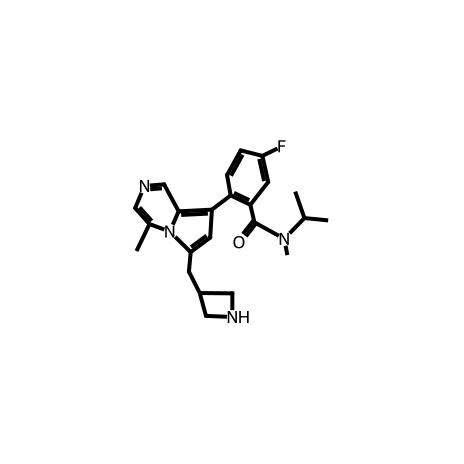 Cc1cncc2c(-c3ccc(F)cc3C(=O)N(C)C(C)C)cc(CC3CNC3)n12